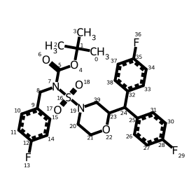 CC(C)(C)OC(=O)N(Cc1ccc(F)cc1)S(=O)(=O)N1CCOC(C(c2ccc(F)cc2)c2ccc(F)cc2)C1